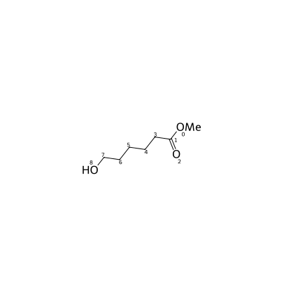 COC(=O)CCCCCO